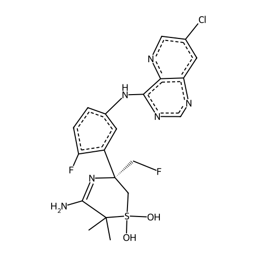 CC1(C)C(N)=N[C@@](CF)(c2cc(Nc3ncnc4cc(Cl)cnc34)ccc2F)CS1(O)O